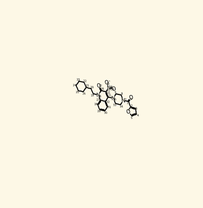 O=C(c1ccco1)N1CCN(c2c([N+](=O)[O-])c(=O)n(CCC3CCCCC3)c3ccccc23)CC1